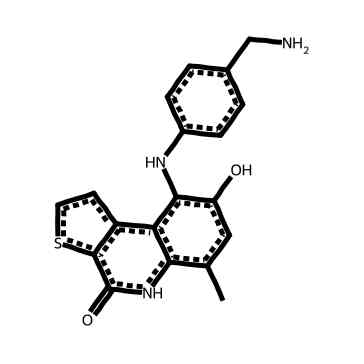 Cc1cc(O)c(Nc2ccc(CN)cc2)c2c1[nH]c(=O)c1sccc12